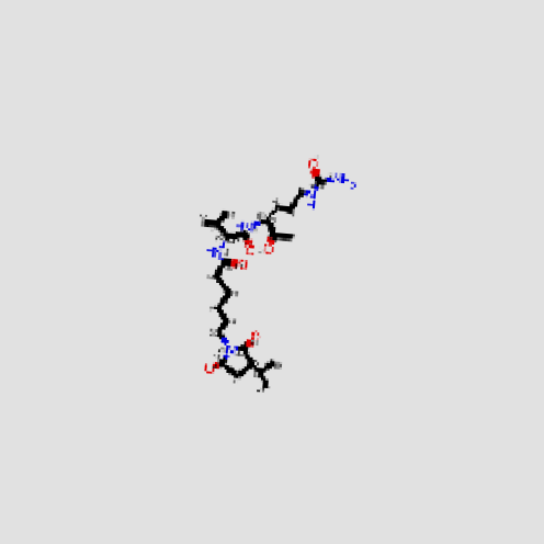 CC(=O)[C@H](CCCNC(N)=O)NC(=O)[C@@H](NC(=O)CCCCCN1C(=O)CC(C(C)C)C1=O)C(C)C